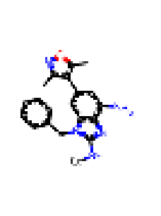 CCNc1nc2c(N)cc(-c3c(C)noc3C)cc2n1Cc1ccccc1